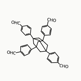 O=Cc1ccc(C23CC4(c5ccc(C=O)cc5)CC(c5ccc(C=O)cc5)(C2)CC(c2ccc(C=O)cc2)(C3)C4)cc1